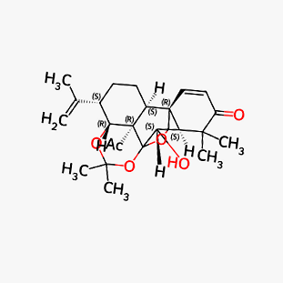 C=C(C)[C@@H]1CC[C@H]2[C@]34C=CC(=O)C(C)(C)[C@H]3[C@H](O)C3(OC4)OC(C)(C)O[C@H]1[C@@]23C(C)=O